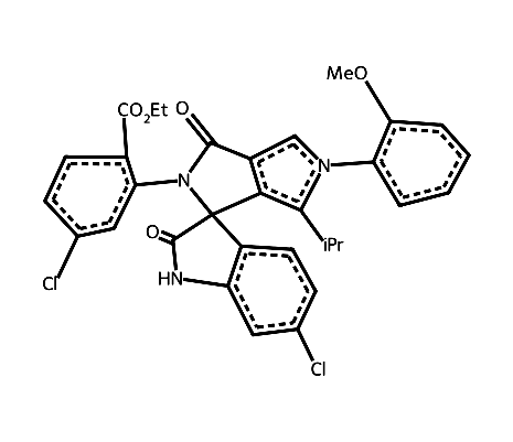 CCOC(=O)c1ccc(Cl)cc1N1C(=O)c2cn(-c3ccccc3OC)c(C(C)C)c2C12C(=O)Nc1cc(Cl)ccc12